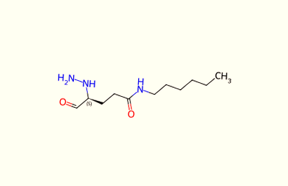 CCCCCCNC(=O)CC[C@@H](C=O)NN